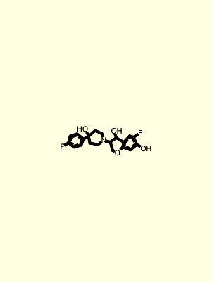 Oc1cc2c(cc1F)C(O)C(N1CCC(O)(c3ccc(F)cc3)CC1)CO2